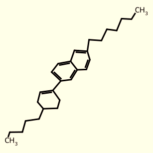 CCCCCCCc1ccc2cc(C3=CCC(CCCCC)CC3)ccc2c1